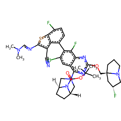 CN(C)/C=N/c1sc2c(F)ccc(-c3c(Cl)cc4c(N5C[C@@H]6CC[C@@H](C5)N6C(=O)OC(C)(C)C)nc(OC[C@@]56CCCN5C[C@H](F)C6)nc4c3F)c2c1C#N